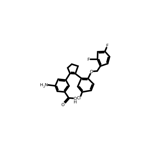 Nc1cc(C(=O)O)cc(C2=C(c3cc(Cl)ccc3OCc3ccc(F)cc3F)CCC2)c1